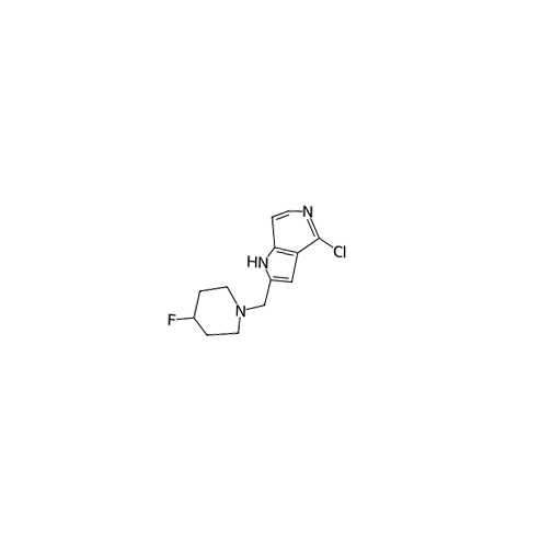 FC1CCN(Cc2cc3c(Cl)nccc3[nH]2)CC1